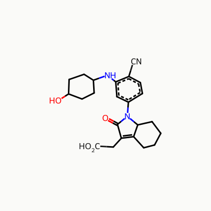 N#Cc1ccc(N2C(=O)C(CC(=O)O)=C3CCCCC32)cc1NC1CCC(O)CC1